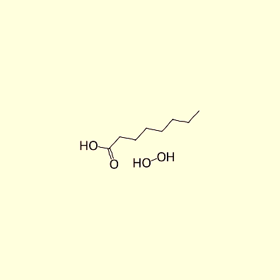 CCCCCCCC(=O)O.OO